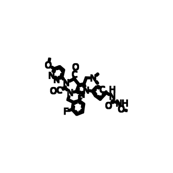 CONC(=O)Nc1ccc(-n2nc3c(c2CN(C)C)C(=C=O)N(c2ccc(OC)nn2)C(=C=O)N3Cc2c(F)cccc2F)cc1